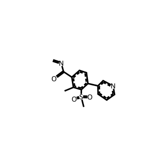 C=NC(=O)c1ccc(-c2cccnc2)c(S(C)(=O)=O)c1C